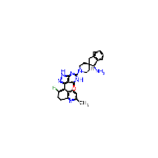 Cc1ccc2c(n1)CCC(F)=C2c1n[nH]c2nc(N3CCC4(CC3)Cc3ccccc3[C@H]4N)[nH]c(=O)c12